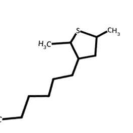 CCCCCCC1CC(C)SC1C